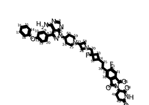 Nc1ncnc2c1c(-c1ccc(Oc3ccccc3)cc1)nn2C1CCN(C2CN(CC3(F)CC(CCc4cc5c(cc4F)C(=O)N(C4CCC(=O)NC4=O)C5=O)C3)C2)CC1